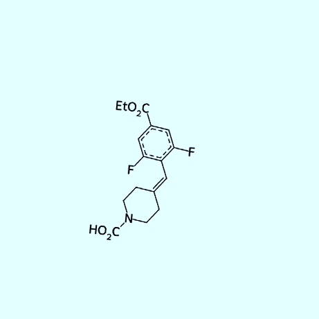 CCOC(=O)c1cc(F)c(C=C2CCN(C(=O)O)CC2)c(F)c1